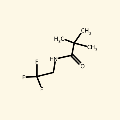 CC(C)(C)C(=O)NCC(F)(F)F